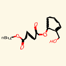 CCCCOC(=O)/C=C/C(=O)Oc1ccccc1CO